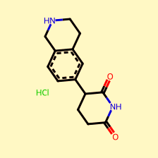 Cl.O=C1CCC(c2ccc3c(c2)CCNC3)C(=O)N1